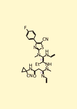 C=C/N=C(/CC(=O)NC1(C#N)CC1)N(C)N/C(CC)=C(\NC=C)N(C)c1nc(-c2ccc(F)cc2)c(C#N)s1